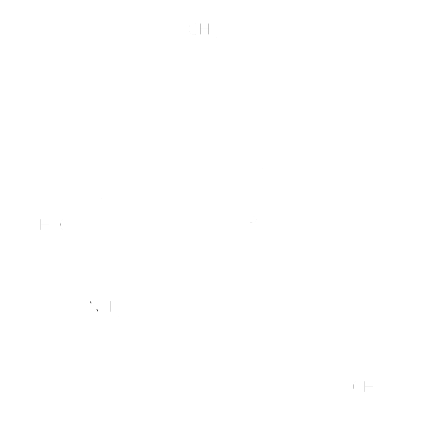 CCCCCP(CCCCC)CCCCC.N